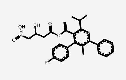 C=C(OC(=O)CC(O)C[PH](=O)O)c1c(C(C)C)nc(-c2ccccc2)c(C)c1-c1ccc(F)cc1